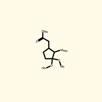 CCCCCC1C(CC(=O)OC)CCC1(OCCC)OCCC